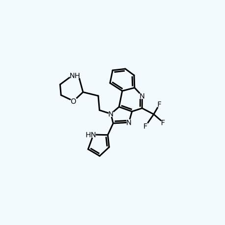 FC(F)(F)c1nc2ccccc2c2c1nc(-c1ccc[nH]1)n2CCC1CNCCO1